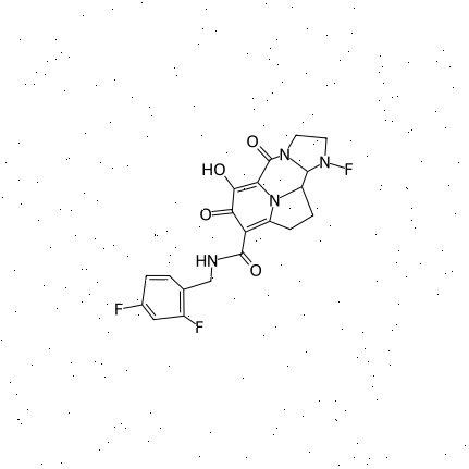 O=C(NCc1ccc(F)cc1F)c1c2n3c(c(O)c1=O)C(=O)N1CCN(F)C1C3CC2